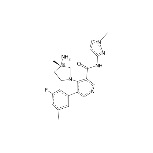 Cc1cc(F)cc(-c2cncc(C(=O)Nc3ccn(C)n3)c2N2CC[C@](C)(N)C2)c1